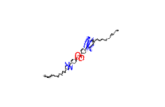 CCCCCCCCCCc1cnc(-c2ccc(C(=O)Oc3ccc(-c4ncc(CCCCCCCC)cn4)cc3)cc2)nc1